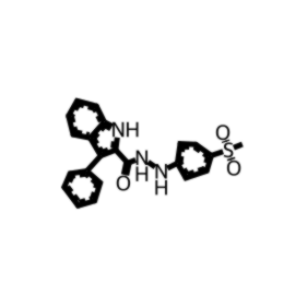 CS(=O)(=O)c1ccc(NNC(=O)c2[nH]c3ccccc3c2-c2ccccc2)cc1